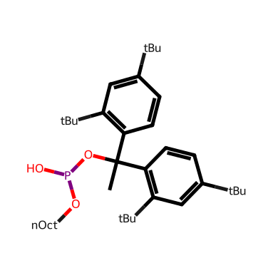 CCCCCCCCOP(O)OC(C)(c1ccc(C(C)(C)C)cc1C(C)(C)C)c1ccc(C(C)(C)C)cc1C(C)(C)C